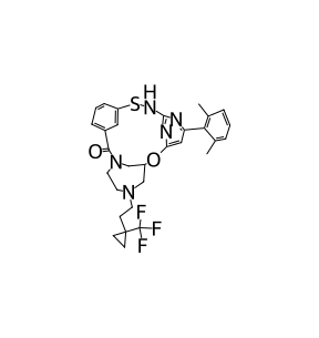 Cc1cccc(C)c1-c1cc2nc(n1)NSc1cccc(c1)C(=O)N1CCN(CCC3(C(F)(F)F)CC3)CC(C1)O2